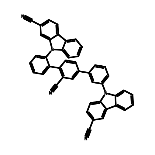 N#Cc1ccc2c(c1)c1ccccc1n2-c1cccc(-c2ccc(-c3ccccc3-n3c4ccccc4c4ccc(C#N)cc43)c(C#N)c2)c1